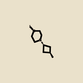 C[C@H]1C[C@H](N2CCN(I)CC2)C1